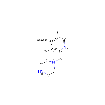 COc1c(C)cnc(CN2CCNCC2)c1C